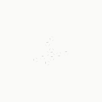 C1=CC2=C(CC1)C1(c3ccccc3-c3c1ccc1c3sc3ccccc31)c1cccc(N(c3ccc(-c4ccccc4)cc3)c3ccc(-c4cccc5c4oc4ccccc45)cc3)c12